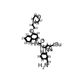 CC(C)(C)c1cc(NC(=O)Nc2ccc(OCCN3CCOCC3)c3ccccc23)n(-c2cccc(CN)c2)n1